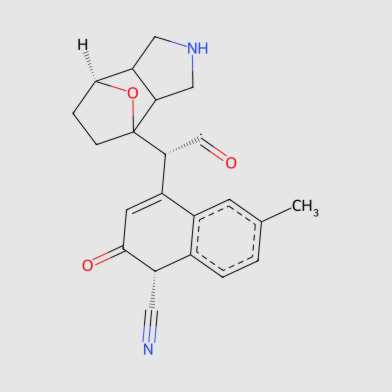 Cc1ccc2c(c1)C([C@@H]([C]=O)C13CC[C@H](O1)C1CNCC13)=CC(=O)[C@H]2C#N